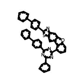 c1ccc(-c2ccc(-c3nc(-c4ccccc4)nc(-c4cccc5oc6cc7nc(-c8ccc(-c9ccccc9)cc8)sc7cc6c45)n3)cc2)cc1